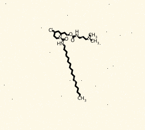 CCCCCCCCCCCCCCCCCCNC(=O)N1CCC(Cl)CC1CCOC(=O)NCCCN(C)C